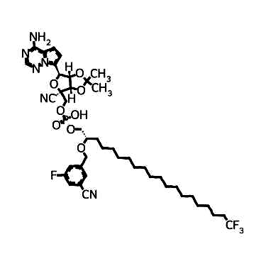 CC1(C)O[C@H]2[C@H](c3ccc4c(N)ncnn34)O[C@](C#N)(COP(=O)(O)OC[C@H](CCCCCCCCCCCCCCCCCC(F)(F)F)OCc3cc(F)cc(C#N)c3)[C@H]2O1